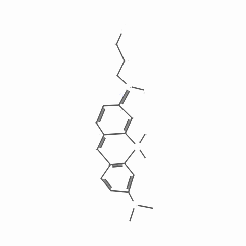 CN(C)c1ccc2c(c1)[Si](C)(C)C1=C/C(=[N+](\C)CCCC(=O)O)C=CC1=C2